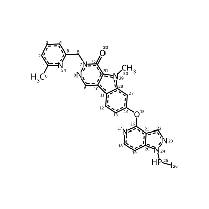 Cc1cccc(Cn2ncc3c4ccc(Oc5nccc6c5cnn6PI)cc4n(C)c3c2=O)n1